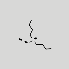 CCCCP(=O)(CCCC)N=C=S